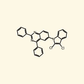 Clc1c(Cl)n(-c2ccc3nc(-c4ccccc4)nc(-c4ccccc4)c3c2)c2ccccc12